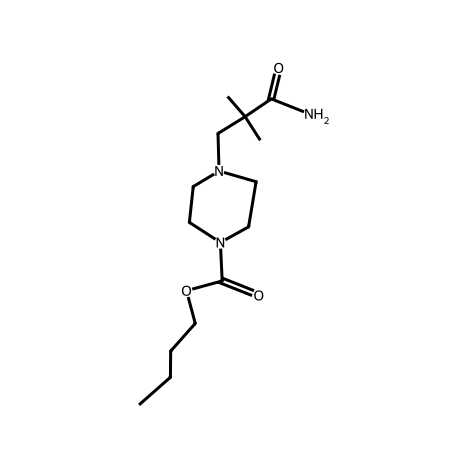 CCCCOC(=O)N1CCN(CC(C)(C)C(N)=O)CC1